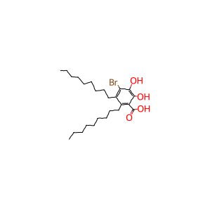 CCCCCCCCCc1c(Br)c(O)c(O)c(C(=O)O)c1CCCCCCCCC